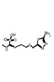 CNC(=NCCSCc1nnc(N)s1)S(=O)(=O)O